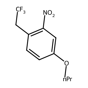 CCCOc1ccc(CC(F)(F)F)c([N+](=O)[O-])c1